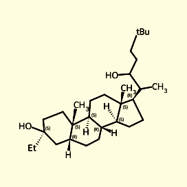 CC[C@]1(O)CC[C@@]2(C)[C@H](CC[C@@H]3[C@@H]2CC[C@]2(C)[C@@H](C(C)C(O)CCC(C)(C)C)CC[C@@H]32)C1